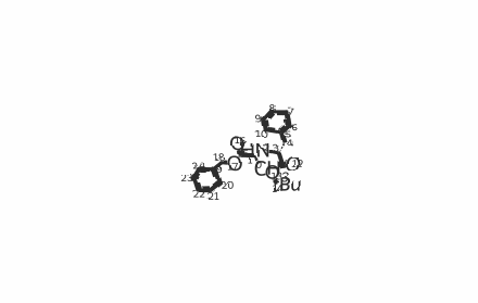 C[C@H](N[C@H](Cc1ccccc1)C(=O)OC(C)(C)C)C(=O)OCc1ccccc1